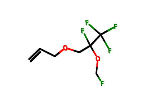 C=CCOCC(F)(OCF)C(F)(F)F